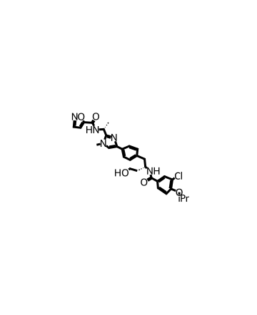 CC(C)Oc1ccc(C(=O)N[C@H](CCO)Cc2ccc(-c3cn(C)c([C@@H](C)NC(=O)c4ccno4)n3)cc2)cc1Cl